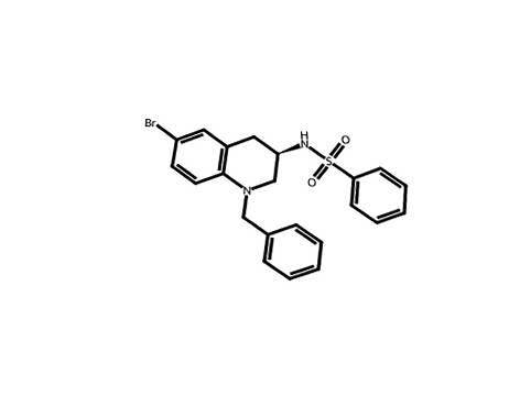 O=S(=O)(N[C@@H]1Cc2cc(Br)ccc2N(Cc2ccccc2)C1)c1ccccc1